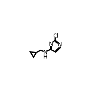 Clc1nccc(NCC2CC2)n1